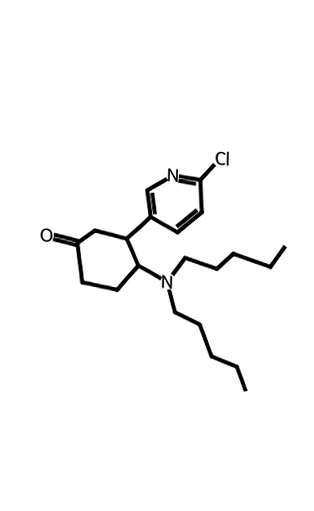 CCCCCN(CCCCC)C1CCC(=O)CC1c1ccc(Cl)nc1